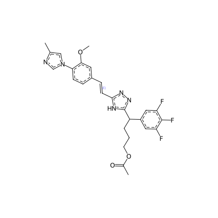 COc1cc(/C=C/c2nnc(C(CCCOC(C)=O)c3cc(F)c(F)c(F)c3)[nH]2)ccc1-n1cnc(C)c1